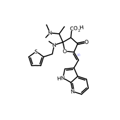 CC(N(C)C)C1(N(C)Cc2cccs2)O/C(=C\c2c[nH]c3ncccc23)C(=O)C1C(=O)O